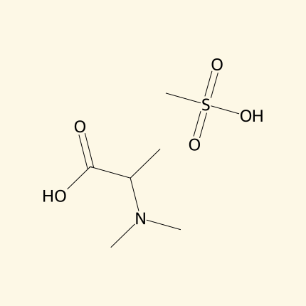 CC(C(=O)O)N(C)C.CS(=O)(=O)O